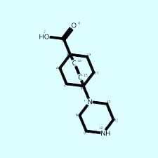 O=C(O)C12CCC(N3CCNCC3)(CC1)CC2